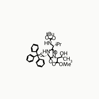 COC(=O)[C@H](NC(=O)[C@H](CSC(c1ccccc1)(c1ccccc1)c1ccccc1)NC(=O)[C@H](NC(=O)OC(C)(C)C)C(C)C)[C@@H](C)O